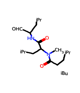 CC[C@H](C)C(CC(C)C)C(=O)N(C)C(CC(C)C)C(=O)NC(C=O)CC(C)C